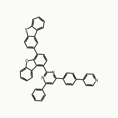 c1ccc(-c2cc(-c3ccc(-c4ccncc4)cc3)nc(-c3ccc(-c4ccc5sc6ccccc6c5c4)c4oc5ccccc5c34)n2)cc1